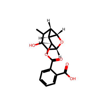 CC1C(O)C(C)[C@H]2O[C@H]3[C@@H]1[C@@H]3[C@@H]2OC(=O)c1ccccc1C(=O)O